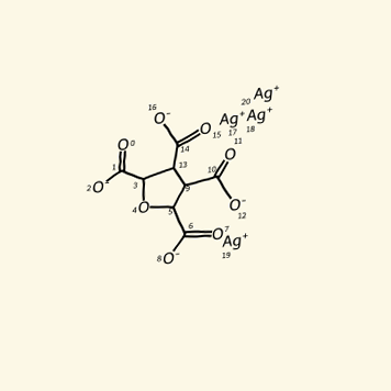 O=C([O-])C1OC(C(=O)[O-])C(C(=O)[O-])C1C(=O)[O-].[Ag+].[Ag+].[Ag+].[Ag+]